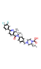 Cc1nc(-c2ccc(F)c(F)c2)ccc1C(=O)N(C)c1ccc(CN2CCN(C(=O)O)[C@@H](C)C2)cc1